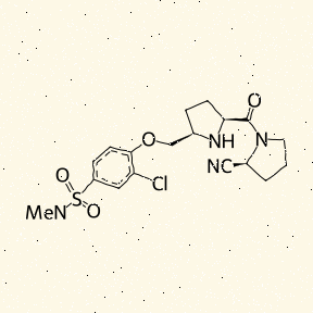 CNS(=O)(=O)c1ccc(OC[C@H]2CC[C@@H](C(=O)N3CCC[C@H]3C#N)N2)c(Cl)c1